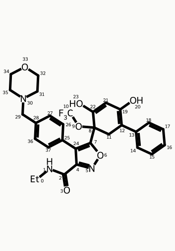 CCNC(=O)c1noc(C2(OC(F)(F)F)CC(c3ccccc3)=C(O)C=C2O)c1-c1ccc(CN2CCOCC2)cc1